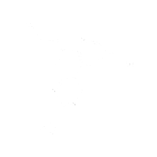 CCOC(=O)c1ncc(CO)cc1-c1cnc(C2CC2)nc1